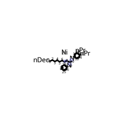 CCCCCCCCCCCCCCCC/C=C/C(/C=N/c1ccc(CCC)c(CCC)c1)=N\c1ccccc1.[Ni]